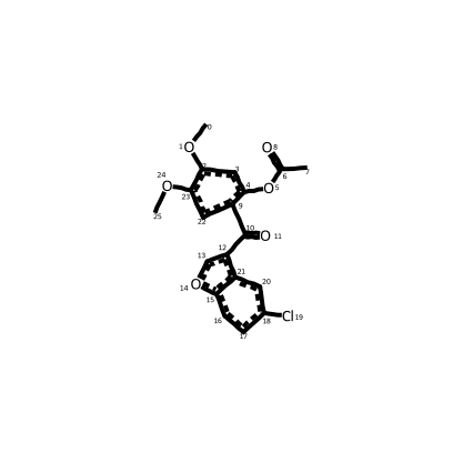 COc1cc(OC(C)=O)c(C(=O)c2coc3ccc(Cl)cc23)cc1OC